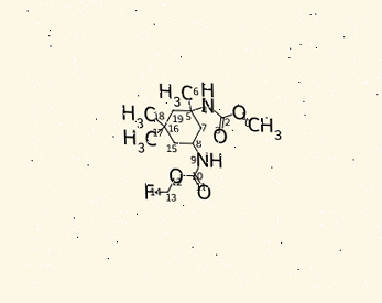 COC(=O)NC1(C)CC(NC(=O)OCF)CC(C)(C)C1